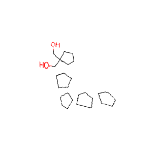 C1CCCC1.C1CCCC1.C1CCCC1.C1CCCC1.OCC1(CO)CCCC1